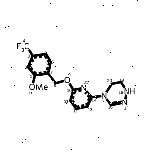 COc1cc(C(F)(F)F)ccc1COc1cccc(N2C=NNCC2)n1